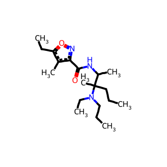 CCCN(CC)C(C)(CCC)C(C)NC(=O)c1noc(CC)c1C